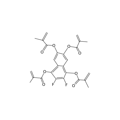 C=C(C)C(=O)Oc1cc2c(OC(=O)C(=C)C)c(F)c(F)c(OC(=O)C(=C)C)c2cc1OC(=O)C(=C)C